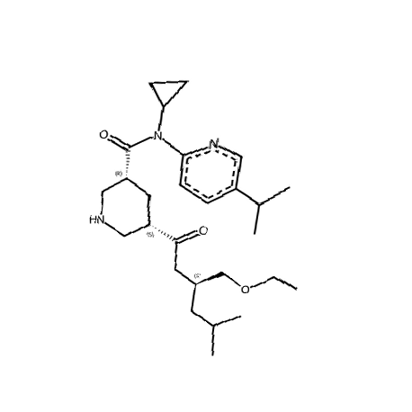 CCOC[C@H](CC(=O)[C@@H]1CNC[C@H](C(=O)N(c2ccc(C(C)C)cn2)C2CC2)C1)CC(C)C